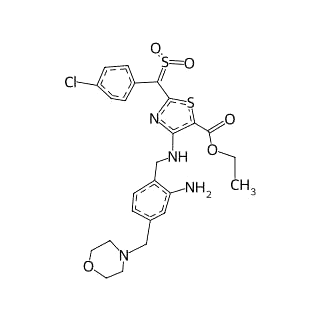 CCOC(=O)c1sc(C(c2ccc(Cl)cc2)=S(=O)=O)nc1NCc1ccc(CN2CCOCC2)cc1N